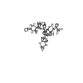 CN1CCc2nc(C(=O)N[C@@H]3C[C@@H](C(=O)N(C)C)CC[C@@H]3NC(=O)CNc3ccc(Cl)cc3F)sc2C1.Cl